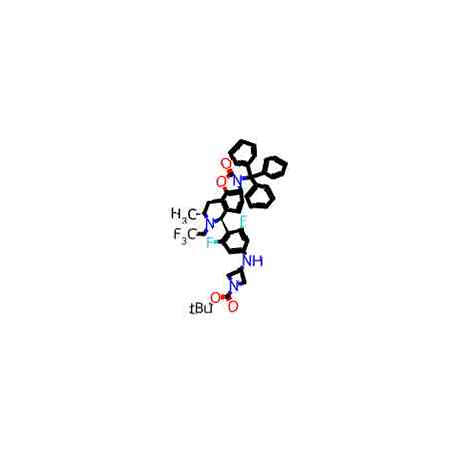 C[C@@H]1Cc2c(ccc3c2oc(=O)n3C(c2ccccc2)(c2ccccc2)c2ccccc2)[C@@H](c2c(F)cc(NC3CN(C(=O)OC(C)(C)C)C3)cc2F)N1CC(F)(F)F